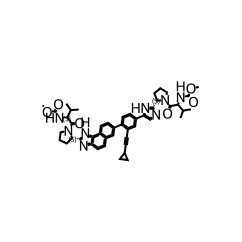 COC(=O)NC(C(=O)N1CCC[C@H]1c1ncc(-c2ccc(-c3ccc4c(ccc5nc([C@@H]6CCCN6C(=O)[C@@H](NC(=O)OC)C(C)C)[nH]c54)c3)c(C#CC3CC3)c2)[nH]1)C(C)C